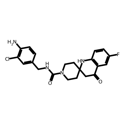 Nc1ccc(CNC(=O)N2CCC3(CC2)CC(=O)c2cc(F)ccc2N3)cc1Cl